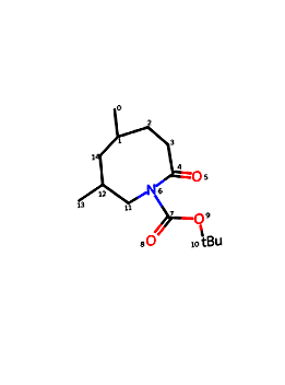 CC1CCC(=O)N(C(=O)OC(C)(C)C)CC(C)C1